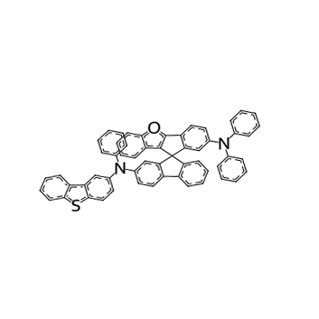 c1ccc(N(c2ccccc2)c2ccc3c(c2)C2(c4ccccc4-c4ccc(N(c5ccccc5)c5ccc6sc7ccccc7c6c5)cc42)c2c-3oc3ccccc23)cc1